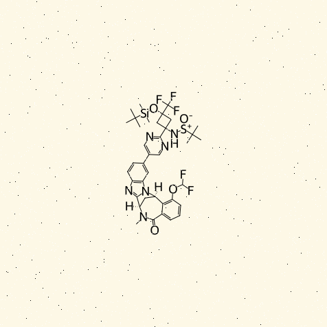 CN1C(=O)c2cccc(OC(F)F)c2[C@H]2C[C@@H]1c1nc3ccc(-c4cnc(C5(N[S@@+]([O-])C(C)(C)C)CC(O[Si](C)(C)C(C)(C)C)(C(F)(F)F)C5)nc4)cc3n12